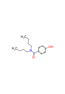 CCCCN(CCCC)C(=O)c1ccc(O)cc1